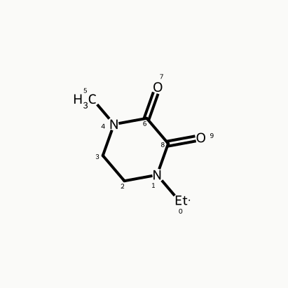 C[CH]N1CCN(C)C(=O)C1=O